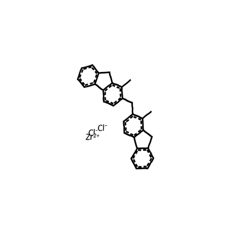 Cc1c(Cc2ccc3c(c2C)Cc2ccccc2-3)ccc2c1Cc1ccccc1-2.[Cl-].[Cl-].[Zr+2]